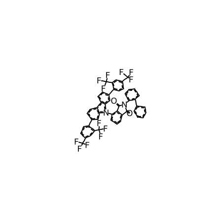 O=C1c2cccc(-n3c4cc(-c5ccc(C(F)(F)F)cc5C(F)(F)F)ccc4c4ccc(-c5ccc(C(F)(F)F)cc5C(F)(F)F)cc43)c2C(=O)N1c1ccccc1-c1ccccc1